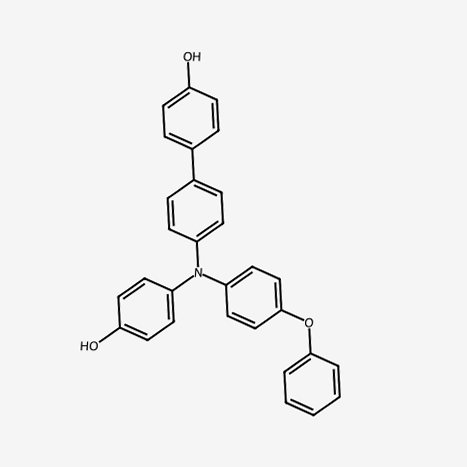 Oc1ccc(-c2ccc(N(c3ccc(O)cc3)c3ccc(Oc4ccccc4)cc3)cc2)cc1